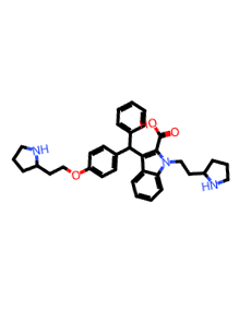 O=C(O)c1c(C(c2ccccc2)c2ccc(OCCC3CCCN3)cc2)c2ccccc2n1CCC1CCCN1